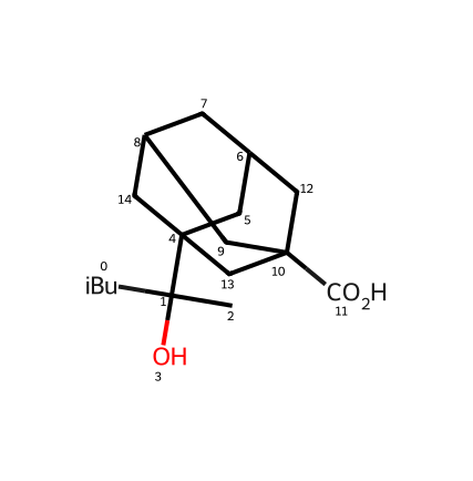 CCC(C)C(C)(O)C12CC3CC(CC(C(=O)O)(C3)C1)C2